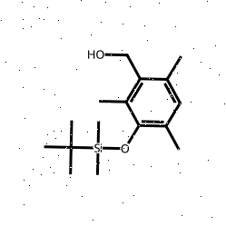 Cc1cc(C)c(O[Si](C)(C)C(C)(C)C)c(C)c1CO